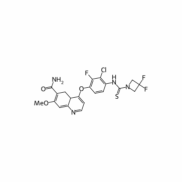 COC1=C(C(N)=O)CC2C(=C1)N=CC=C2Oc1ccc(NC(=S)N2CC(F)(F)C2)c(Cl)c1F